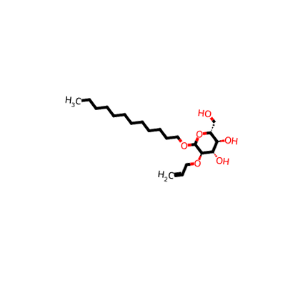 C=CCO[C@H]1C(OCCCCCCCCCCCC)O[C@H](CO)[C@@H](O)[C@@H]1O